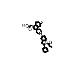 C=CC(=O)N1c2ccc(N3CCC4(CC3)C[C@@H](CC(=O)O)c3ccc(F)cc34)cc2CC1c1ccccc1